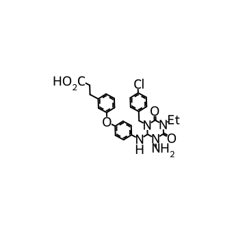 CCN1C(=O)N(N)C(Nc2ccc(Oc3cccc(CCC(=O)O)c3)cc2)N(Cc2ccc(Cl)cc2)C1=O